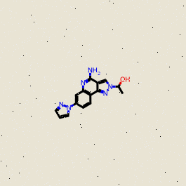 CC(O)n1cc2c(N)nc3cc(-n4cccn4)ccc3c2n1